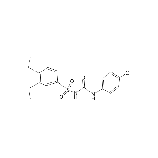 CCc1ccc(S(=O)(=O)NC(=O)Nc2ccc(Cl)cc2)cc1CC